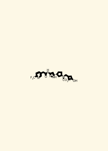 O=C(Cc1ccc(C(F)(F)F)nc1)Nc1cc([C@@H]2CC[C@H](N(CC3CC(O)C3)C(=O)O)C2)[nH]n1